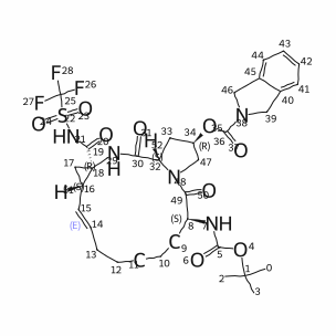 CC(C)(C)OC(=O)N[C@H]1CCCCC/C=C/[C@@H]2C[C@@]2(C(=O)NS(=O)(=O)C(F)(F)F)NC(=O)[C@@H]2C[C@@H](OC(=O)N3Cc4ccccc4C3)CN2C1=O